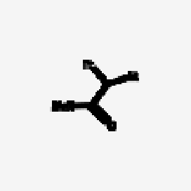 CCC(CC)C(=O)NC